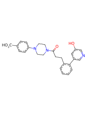 O=C(O)c1ccc(N2CCN(C(=O)CCc3ccccc3-c3cncc(O)c3)CC2)cc1